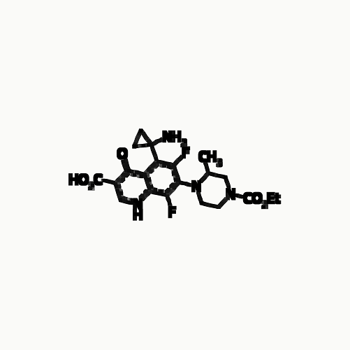 CCOC(=O)N1CCN(c2c(F)c(C3(N)CC3)c3c(=O)c(C(=O)O)c[nH]c3c2F)C(C)C1